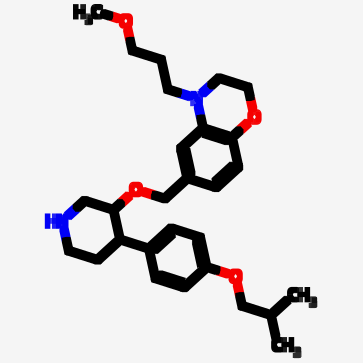 COCCCN1CCOc2ccc(COC3CNCCC3c3ccc(OCC(C)C)cc3)cc21